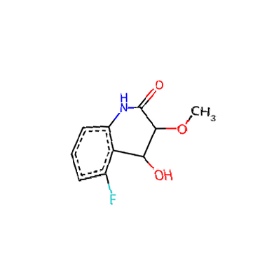 COC1C(=O)Nc2cccc(F)c2C1O